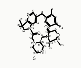 Cc1cc(F)ccc1Cc1cnc2c(c1)N(C(=O)CN1C[C@@H](C)NC[C@@H]1CN1C(=O)CO[C@@H](C)[C@H]1C)CC2(C)C